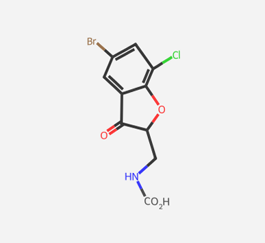 O=C(O)NCC1Oc2c(Cl)cc(Br)cc2C1=O